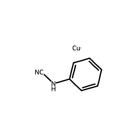 N#CNc1ccccc1.[Cu]